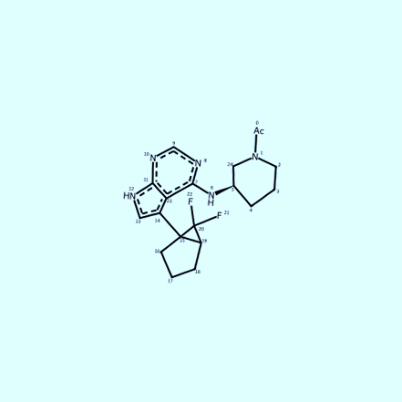 CC(=O)N1CCC[C@@H](Nc2ncnc3[nH]cc(C45CCCC4C5(F)F)c23)C1